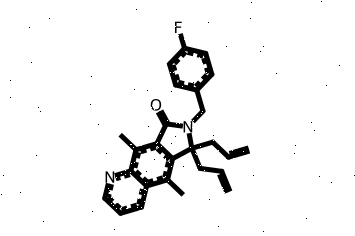 C=CCC1(CC=C)c2c(c(C)c3ncccc3c2C)C(=O)N1Cc1ccc(F)cc1